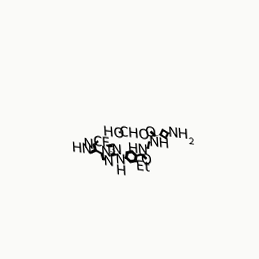 CCc1cc(Nc2nccn3c(-c4c[nH]nc4C(F)(F)F)cnc23)ccc1C(=O)NCCNC(=O)[C@H]1C[C@@H](N)C1.O=CO